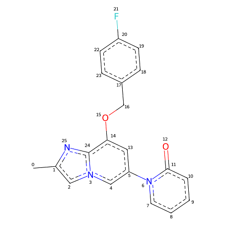 Cc1cn2cc(-n3ccccc3=O)cc(OCc3ccc(F)cc3)c2n1